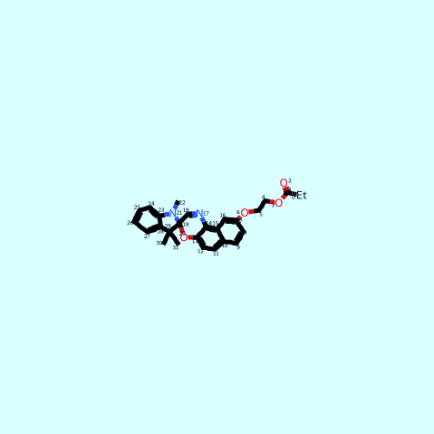 CCC(=O)OCCOc1ccc2ccc3c(c2c1)N=CC1(O3)N(C)c2ccccc2C1(C)C